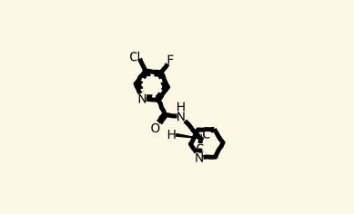 O=C(N[C@@H]1CC2CCN(CC2)C1)c1cc(F)c(Cl)cn1